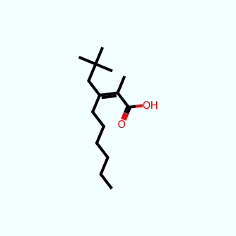 CCCCCCC(CC(C)(C)C)=C(C)C(=O)O